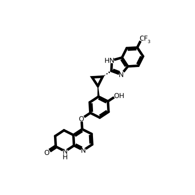 O=C1CCc2c(Oc3ccc(O)c([C@H]4C[C@@H]4c4nc5ccc(C(F)(F)F)cc5[nH]4)c3)ccnc2N1